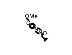 COCCOc1ccc(N2CCN(C(=O)CC3CC3)CC2)cc1